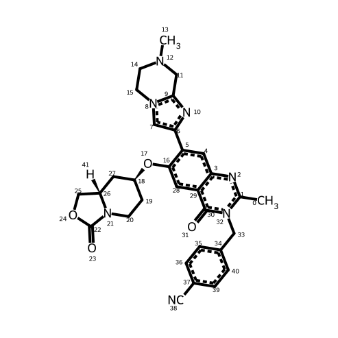 Cc1nc2cc(-c3cn4c(n3)CN(C)CC4)c(O[C@H]3CCN4C(=O)OC[C@@H]4C3)cc2c(=O)n1Cc1ccc(C#N)cc1